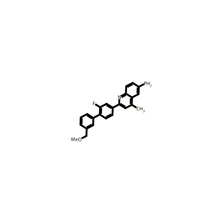 COCc1cccc(-c2ccc(-c3cc(C)c4cc(P)ccc4n3)cc2F)c1